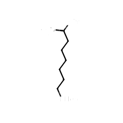 CCCCCCCCCCCCCC(CCC)[N+](=O)[O-]